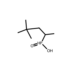 CC(CC(C)(C)C)[PH](=O)O